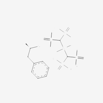 CC[N+](CC)(C(P(=O)(O)O)P(=O)(O)O)C(P(=O)(O)O)P(=O)(O)O.N[C@@H](Cc1ccccc1)C(=O)O